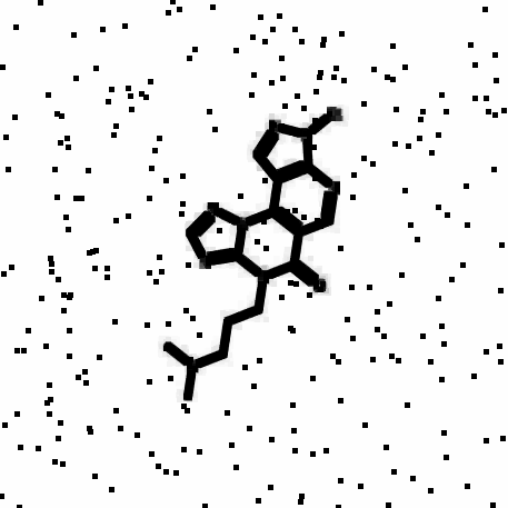 CCn1ncc2c1ncc1c(=O)n(CCCN(C)C)c3ncnn3c12